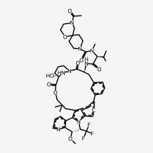 CO[C@@H](C)c1ncccc1-c1c2c3cc(ccc3n1CC(F)(F)F)-c1cccc(c1)C[C@H](NC(=O)[C@H](C(C)C)N(C)C(=O)N1CCC3(CC1)CN(C(C)=O)CCO3)C(=O)N1CCC[C@@](O)(N1)C(=O)OCC(C)(C)C2